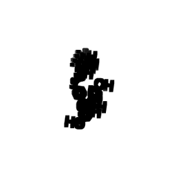 [2H]C([2H])([2H])C1=C(c2ccc(O)cc2)C(c2ccc(SC3CN(C([2H])([2H])C([2H])([2H])C([2H])([2H])[2H])C3)cc2)Oc2cc(O)ccc21